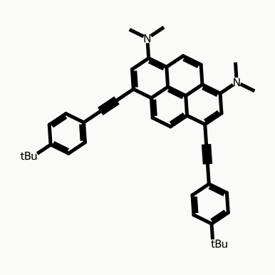 CN(C)c1cc(C#Cc2ccc(C(C)(C)C)cc2)c2ccc3c(C#Cc4ccc(C(C)(C)C)cc4)cc(N(C)C)c4ccc1c2c34